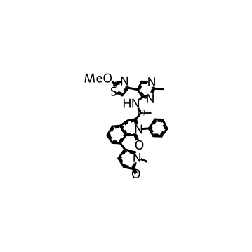 COc1nc(-c2cnc(C)nc2N[C@@H](C)c2cc3cccc(-c4ccc(=O)n(C)c4)c3c(=O)n2-c2ccccc2)cs1